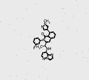 C[C@H](Nc1ccnn2ccnc12)c1cc2cccc(-c3cnn(C)c3)c2c(=O)n1-c1cccc(F)c1